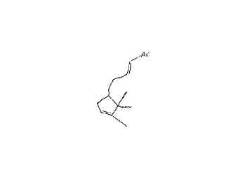 CC(=O)C=CCC1CC=C(C)C1(C)C